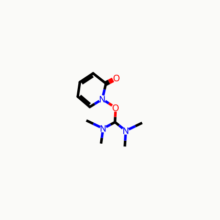 CN(C)C(On1ccccc1=O)N(C)C